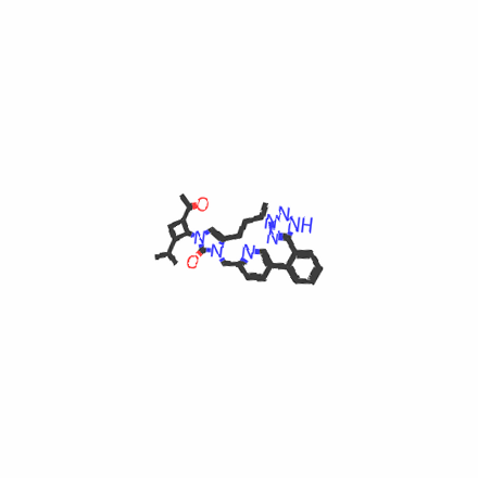 CCCCc1cn(C2C(C(C)=O)CC2C(C)C)c(=O)n1Cc1ccc(-c2ccccc2-c2nnn[nH]2)cn1